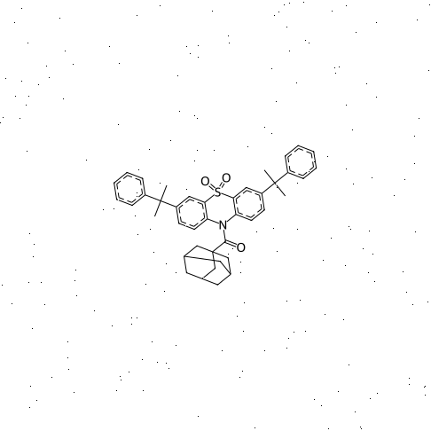 CC(C)(c1ccccc1)c1ccc2c(c1)S(=O)(=O)c1cc(C(C)(C)c3ccccc3)ccc1N2C(=O)C12CC3CC(CC(C3)C1)C2